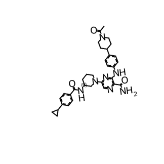 CC(=O)N1CCC(c2ccc(Nc3nc(N4CCC[C@@H](NC(=O)c5ccc(C6CC6)cc5)C4)cnc3C(N)=O)cc2)CC1